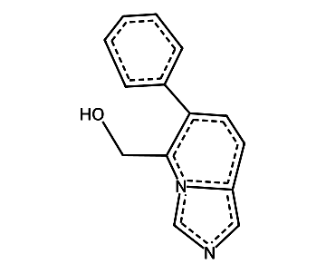 OCc1c(-c2ccccc2)ccc2cncn12